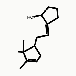 CC1=CCC(C/C=C2/CCCC2O)C1(C)C